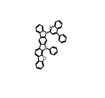 c1ccc(-c2cc(-n3c4ccccc4c4cc5c6ccc7c8ccccc8oc7c6n(-c6ccccc6)c5cc43)nc3ccccc23)cc1